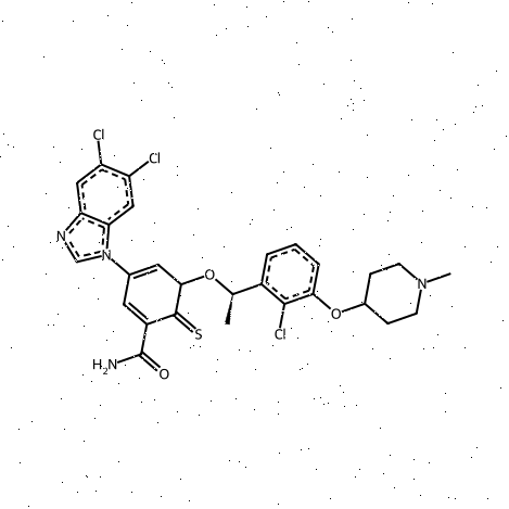 C[C@@H](OC1C=C(n2cnc3cc(Cl)c(Cl)cc32)C=C(C(N)=O)C1=S)c1cccc(OC2CCN(C)CC2)c1Cl